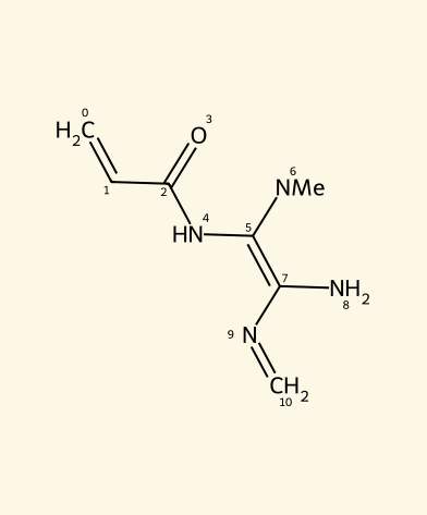 C=CC(=O)N/C(NC)=C(/N)N=C